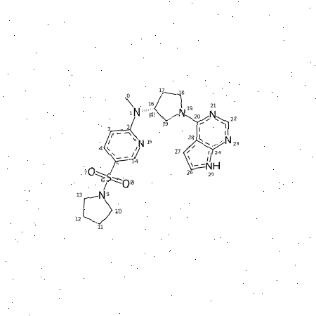 CN(c1ccc(S(=O)(=O)N2CCCC2)cn1)[C@@H]1CCN(c2ncnc3[nH]ccc23)C1